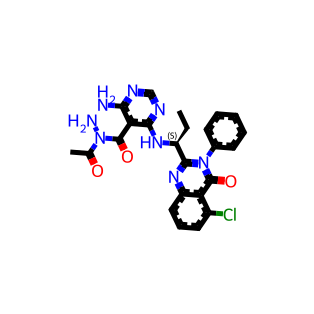 CC[C@H](Nc1ncnc(N)c1C(=O)N(N)C(C)=O)c1nc2cccc(Cl)c2c(=O)n1-c1ccccc1